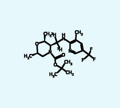 [2H]C([2H])(Nc1ncc(C(F)(F)F)cc1C)[C@@H]1[C@H](C)O[C@H](C)CN1C(=O)OC(C)(C)C